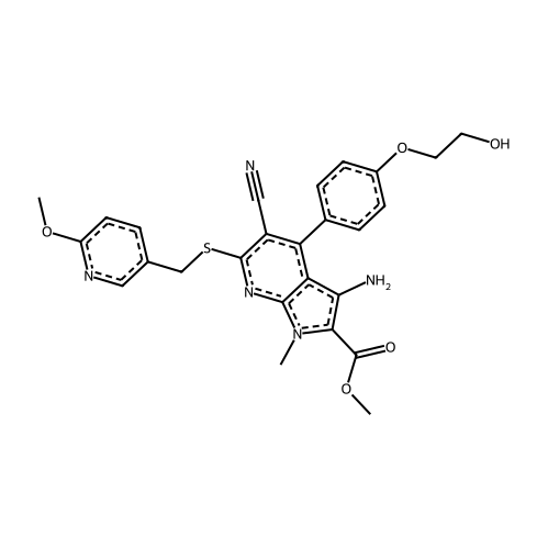 COC(=O)c1c(N)c2c(-c3ccc(OCCO)cc3)c(C#N)c(SCc3ccc(OC)nc3)nc2n1C